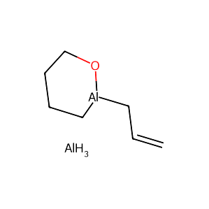 C=C[CH2][Al]1[CH2]CCC[O]1.[AlH3]